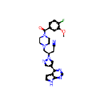 COc1cc(C(=O)N2CCN(CC(CC#N)n3cc(-c4ncnc5[nH]ccc45)cn3)CC2)ccc1F